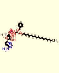 CCCCCCCCCCCCCCCCCCOC[C@H](COP(=O)(O)OC1[C@@]2(C)O[C@@H](c3ccc4c(N)ncnn34)[C@H](O)[C@@]12O)OCc1ccccc1